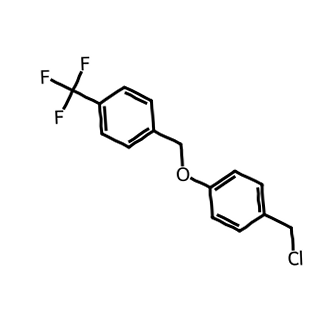 FC(F)(F)c1ccc(COc2ccc(CCl)cc2)cc1